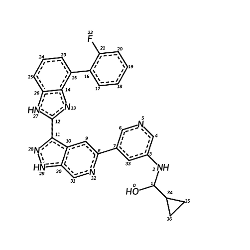 OC(Nc1cncc(-c2cc3c(-c4nc5c(-c6ccccc6F)cccc5[nH]4)n[nH]c3cn2)c1)C1CC1